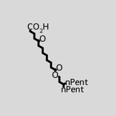 CCCCCC(CCCCC)CCOC(=O)CCCCCCCC(=O)CCCC(=O)O